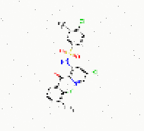 Cc1cccc(C(=O)c2ncc(Cl)cc2NS(=O)(=O)c2ccc(Cl)c(C(F)(F)F)c2)c1Cl